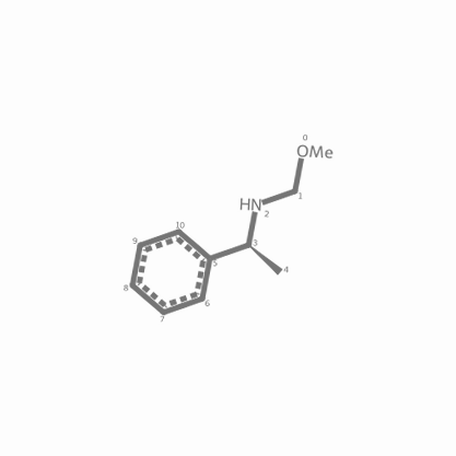 COCN[C@@H](C)c1ccccc1